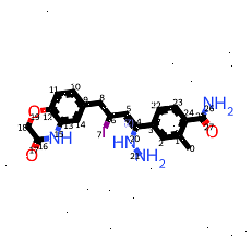 Cc1cc(/C(=C/C(I)Cc2ccc3c(c2)NC(=O)CO3)NN)ccc1C(N)=O